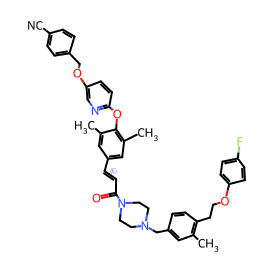 Cc1cc(CN2CCN(C(=O)/C=C/c3cc(C)c(Oc4ccc(OCc5ccc(C#N)cc5)cn4)c(C)c3)CC2)ccc1CCOc1ccc(F)cc1